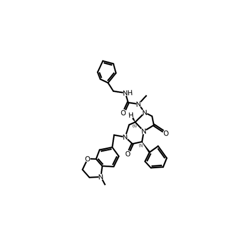 CN1CCOc2cc(CN3C[C@H]4N(C(=O)CN4N(C)C(=O)NCc4ccccc4)[C@@H](c4ccccc4)C3=O)ccc21